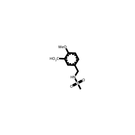 COc1ccc(CNS(C)(=O)=O)cc1C(=O)O